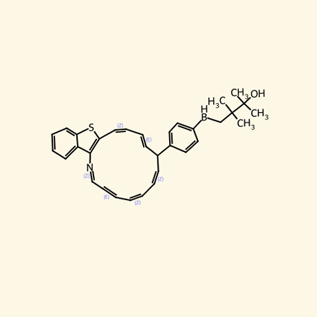 CC(C)(O)C(C)(C)CBc1ccc(C2\C=C/C=C\C=C\C=N/c3c(sc4ccccc34)/C=C\C=C\2)cc1